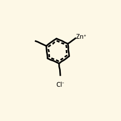 Cc1cc(C)c[c]([Zn+])c1.[Cl-]